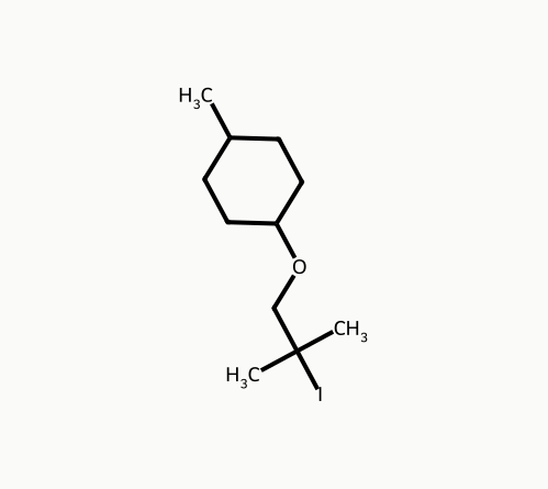 CC1CCC(OCC(C)(C)I)CC1